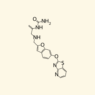 C=C(CNCc1cc2ccc(Oc3nc4ncccc4s3)cc2o1)NC(N)=O